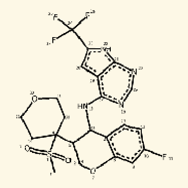 CS(=O)(=O)C1(C2COc3cc(F)ccc3C2Nc2ncnc3[nH]c(C(F)(F)F)cc23)CCOCC1